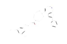 COc1cc(CCCC(=O)C2CCCCC(C3=CCC=NC4=C3C=C(c3ccccc3)C4)CCC2)cc(OC)c1